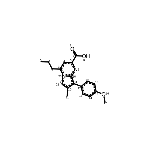 CCCc1cc(C(=O)O)nc2c(-c3ccc(OC)cc3)c(C)nn12